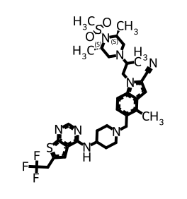 Cc1c(CN2CCC(Nc3ncnc4sc(CC(F)(F)F)cc34)CC2)ccc2c1cc(C#N)n2CC(C)N1C[C@H](C)N(S(C)(=O)=O)[C@@H](C)C1